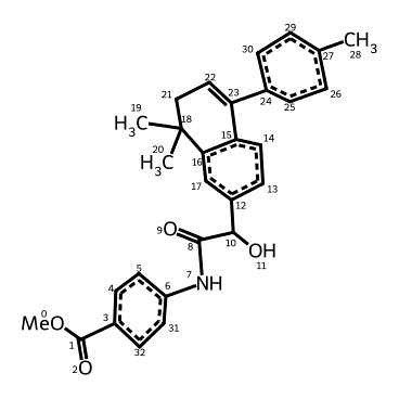 COC(=O)c1ccc(NC(=O)C(O)c2ccc3c(c2)C(C)(C)CC=C3c2ccc(C)cc2)cc1